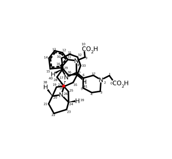 O=C(O)CN1CCC/C(=C2/N(CC(=O)O)c3ccccc3N2[C@H]2C[C@H]3CCC[C@@H](C2)N3C2C[C@@H]3CCCC[C@@H](C2)C3)C1